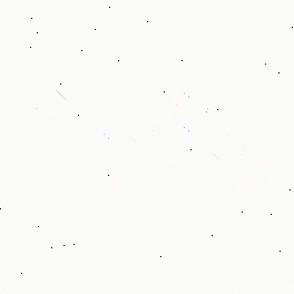 CCS(=O)(=O)c1ccc([C@H](CC#N)NC(=O)c2ccc(N3C[C@@H](c4ccc(Cl)cc4)CC[C@H]3COC(F)F)cc2)cc1